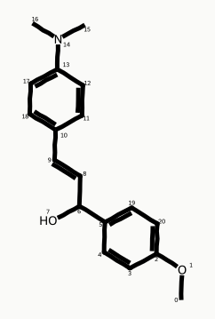 COc1ccc(C(O)C=Cc2ccc(N(C)C)cc2)cc1